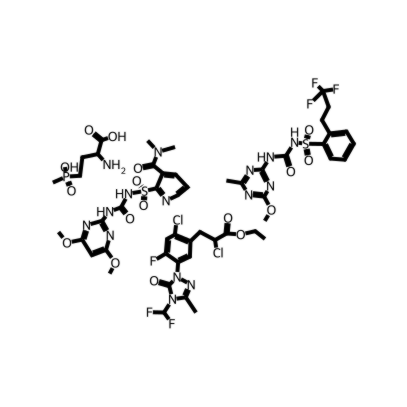 CCOC(=O)C(Cl)Cc1cc(-n2nc(C)n(C(F)F)c2=O)c(F)cc1Cl.COc1cc(OC)nc(NC(=O)NS(=O)(=O)c2ncccc2C(=O)N(C)C)n1.COc1nc(C)nc(NC(=O)NS(=O)(=O)c2ccccc2CCC(F)(F)F)n1.CP(=O)(O)CCC(N)C(=O)O